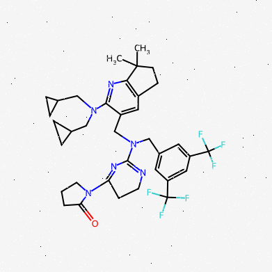 CC1(C)CCc2cc(CN(Cc3cc(C(F)(F)F)cc(C(F)(F)F)c3)C3=NCCC(N4CCCC4=O)=N3)c(N(CC3CC3)CC3CC3)nc21